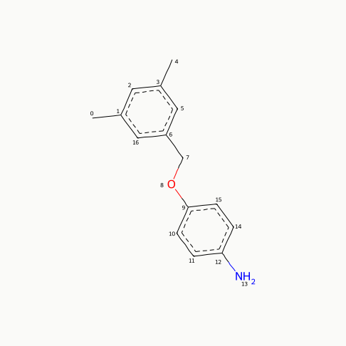 Cc1cc(C)cc(COc2ccc(N)cc2)c1